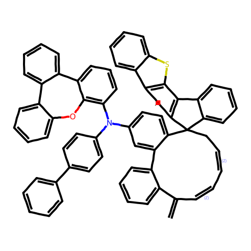 C=C1/C=C\C=C/CC2(c3ccc(N(c4ccc(-c5ccccc5)cc4)c4cccc5c4Oc4ccccc4-c4ccccc4-5)cc3-c3ccccc31)c1ccccc1-c1c2ccc2c1sc1ccccc12